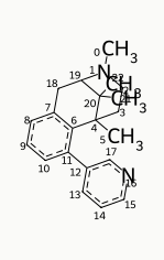 CN1CCC2(C)c3c(cccc3-c3cccnc3)CC1C2(C)C